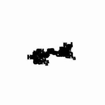 CC(C)c1cc(-c2nnc(O)n2-c2ccc(CN3CCN(C(=O)CC(=O)OC[C@H](O)Cn4cnc5c(c(Nc6ccc(I)cc6F)c(F)c(=O)n5C)c4=O)CC3)c(F)c2)c(O)cc1O